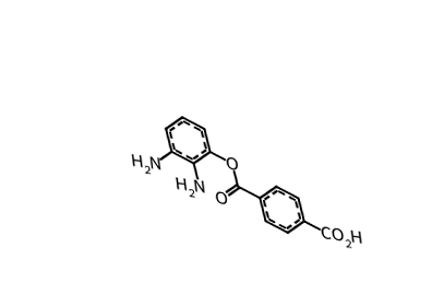 Nc1cccc(OC(=O)c2ccc(C(=O)O)cc2)c1N